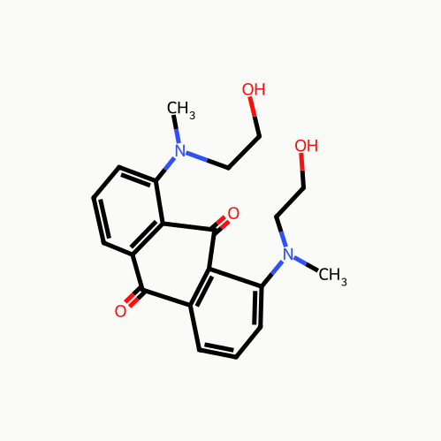 CN(CCO)c1cccc2c1C(=O)c1c(cccc1N(C)CCO)C2=O